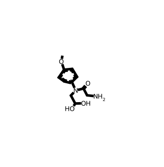 COc1ccc(N(CC(O)O)C(=O)CN)cc1